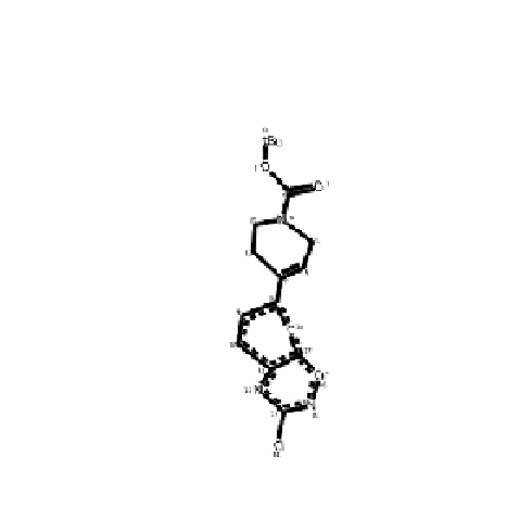 CC(C)(C)OC(=O)N1CC=C(c2ccc3nc(Cl)n[o+]c3c2)CC1